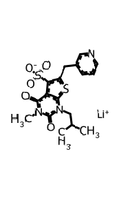 CC(C)Cn1c(=O)n(C)c(=O)c2c(S(=O)(=O)[O-])c(Cc3cccnc3)sc21.[Li+]